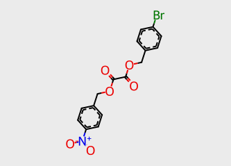 O=C(OCc1ccc(Br)cc1)C(=O)OCc1ccc([N+](=O)[O-])cc1